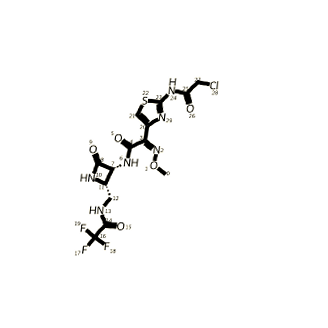 CON=C(C(=O)N[C@H]1C(=O)N[C@H]1CNC(=O)C(F)(F)F)c1csc(NC(=O)CCl)n1